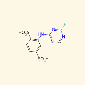 O=S(=O)(O)c1ccc(S(=O)(=O)O)c(Nc2n[c]nc(F)n2)c1